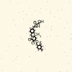 Cc1cc(OCc2ccc(F)cc2F)c(Cl)c(=O)n1Cc1ccc(CNC(=O)CO)cc1